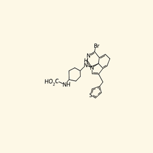 O=C(O)NC1CCC(NN2C=C(Cc3ccsc3)C3=CCC=C4C(Br)=NC=CC342)CC1